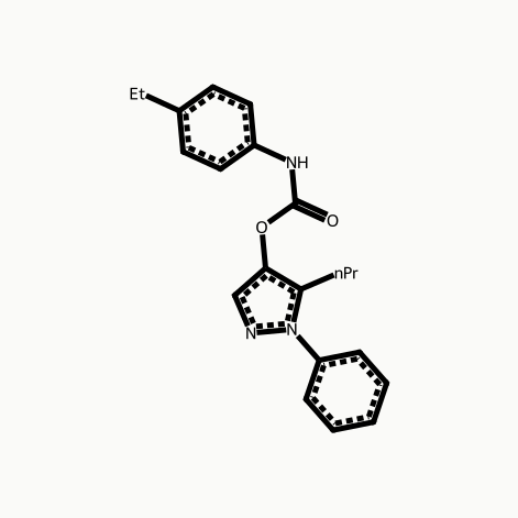 CCCc1c(OC(=O)Nc2ccc(CC)cc2)cnn1-c1ccccc1